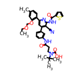 CCOCOc1cc(C)ccc1-c1cc(-c2cccc(NC(=O)CCN(C(=O)O)C(C)(C)C)c2)c(C#N)c(NC(=O)c2cccs2)n1